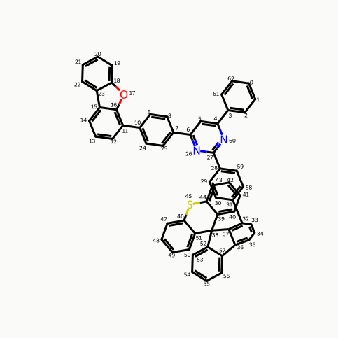 c1ccc(-c2cc(-c3ccc(-c4cccc5c4oc4ccccc45)cc3)nc(-c3ccc(-c4cccc5c4C4(c6ccccc6Sc6ccccc64)c4ccccc4-5)cc3)n2)cc1